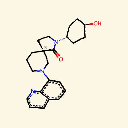 O=C1N([C@H]2CC[C@H](O)CC2)CC[C@@]12CCCN(c1cccc3cccnc13)C2